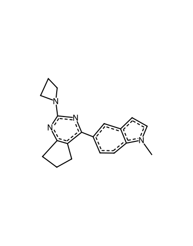 Cn1ccc2cc(-c3nc(N4CCC4)nc4c3CCC4)ccc21